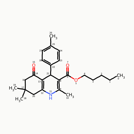 CCCCCOC(=O)C1=C(C)NC2=C(C(=O)CC(C)(C)C2)C1c1ccc(C)cc1